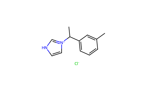 Cc1cccc(C(C)[n+]2cc[nH]c2)c1.[Cl-]